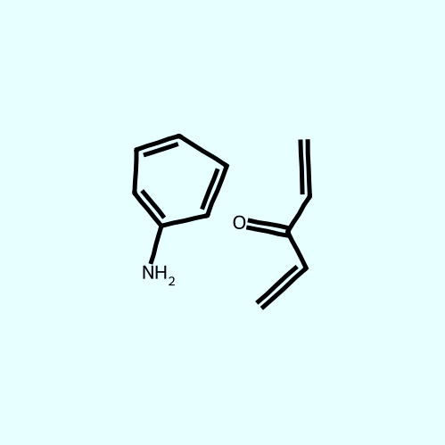 C=CC(=O)C=C.Nc1ccccc1